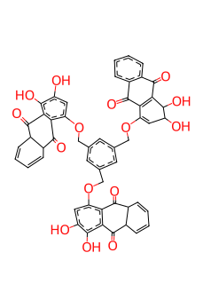 O=C1C2=C(C(=O)c3ccccc31)C(O)C(O)C=C2OCc1cc(COc2cc(O)c(O)c3c2C(=O)C2C=CC=CC2C3=O)cc(COc2cc(O)c(O)c3c2C(=O)C2C=CC=CC2C3=O)c1